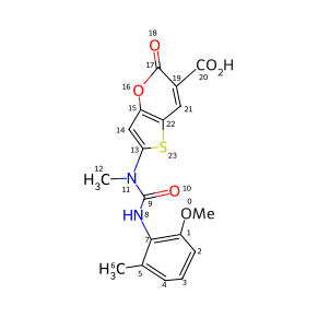 COc1cccc(C)c1NC(=O)N(C)c1cc2oc(=O)c(C(=O)O)cc2s1